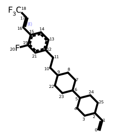 C=CC1CCC(C2CCC(CCc3ccc(/C=C/C(F)(F)F)c(F)c3)CC2)CC1